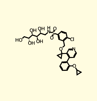 O=S(=O)(NC[C@H](O)[C@@H](O)[C@H](O)[C@H](O)CO)c1ccc(Cl)c(COC2(c3cnccc3-c3ccccc3OC3CC3)CC2)c1